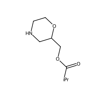 CC(C)C(=O)OCC1CNCCO1